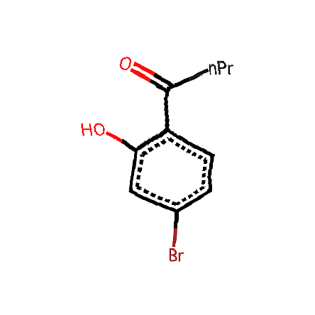 CCCC(=O)c1ccc(Br)cc1O